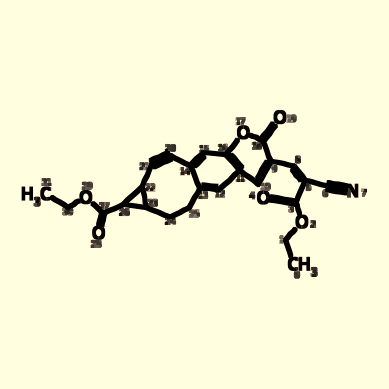 CCOC(=O)C(C#N)=Cc1cc2cc3c(cc2oc1=O)C#CC1C(CC3)C1C(=O)OCC